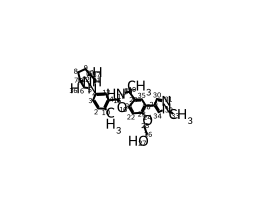 Cc1ccc(N2C[C@H]3CC[C@@H](C2)N3)cc1C(=O)N[C@H](C)c1ccc(OCCO)c(-c2cnn(C)c2)c1